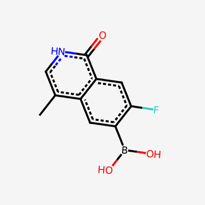 Cc1c[nH]c(=O)c2cc(F)c(B(O)O)cc12